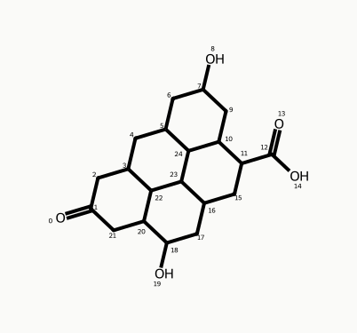 O=C1CC2CC3CC(O)CC4C(C(=O)O)CC5CC(O)C(C1)C2C5C34